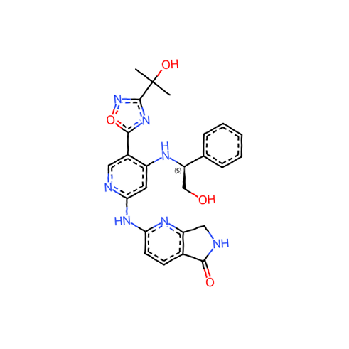 CC(C)(O)c1noc(-c2cnc(Nc3ccc4c(n3)CNC4=O)cc2N[C@H](CO)c2ccccc2)n1